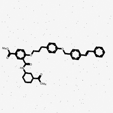 COC(=O)c1ccc(OCCCc2ccc(OCc3ccc(/C=C/c4ccccc4)cc3)cc2)c(C(=O)NC2CCCC(C(=O)OC)C2)c1